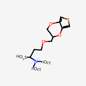 CCCCCCCCN(CCCCCCCC)C(CCOCC1COc2cscc2O1)S(=O)(=O)O